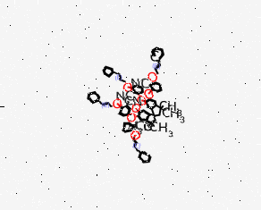 CC1(C)CC2(CC(C)(C)c3cc(Oc4cccc(OC/C=C/c5ccccc5)c4C#N)c(Oc4cccc(OC/C=C/c5ccccc5)c4C#N)cc32)c2cc(Oc3cccc(OC/C=C/c4ccccc4)c3C#N)c(Oc3cccc(OC/C=C/c4ccccc4)c3C#N)cc21